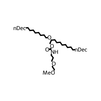 CCCCCCCCCCCCCCCCCCOC(CCCCCCCCCCCCCCCCCC)COC(=O)NCCCOCCOC